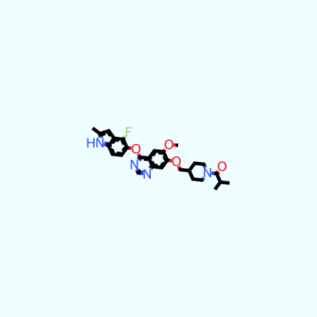 COc1cc2c(Oc3ccc4[nH]c(C)cc4c3F)ncnc2cc1OCC1CCN(C(=O)C(C)C)CC1